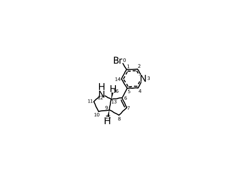 Brc1cncc(C2=CC[C@@H]3CCN[C@H]23)c1